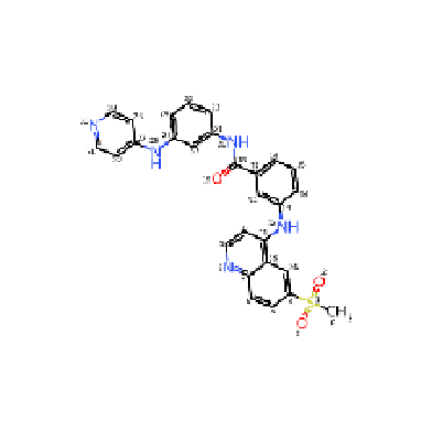 CS(=O)(=O)c1ccc2nccc(Nc3cccc(C(=O)Nc4cccc(Nc5ccncc5)c4)c3)c2c1